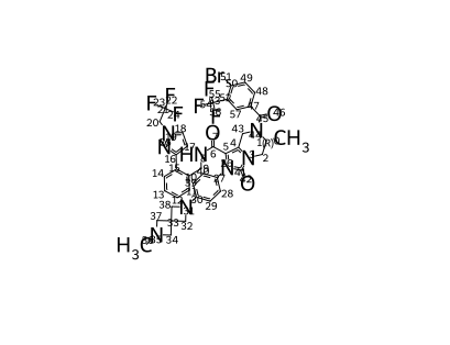 C[C@@H]1Cn2c(c(C(=O)NCc3ccccc3-c3ccn(CC(F)(F)F)n3)n(-c3ccc(N4CC5(CN(C)C5)C4)cc3)c2=O)CN1C(=O)c1ccc(Br)c(C(F)(F)F)c1